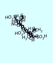 C=CS(=O)(=O)CCNc1nc(NCCOS(=O)(=O)O)c(C#N)c(C)c1/N=N/c1ccc(/C=C/c2ccc(/N=N/c3c(NCCS(=O)(=O)C=C)nc(NCCOS(=O)(=O)O)c(C#N)c3C)cc2S(=O)(=O)O)c(S(=O)(=O)O)c1